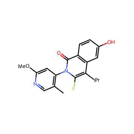 COc1cc(-n2c(F)c(C(C)C)c3cc(O)ccc3c2=O)c(C)cn1